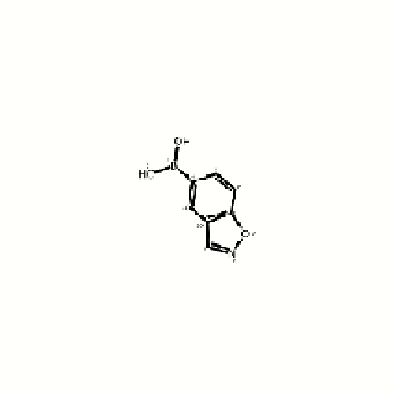 OB(O)c1ccc2oncc2c1